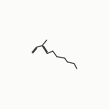 C=CC(C)=CCCCCCC